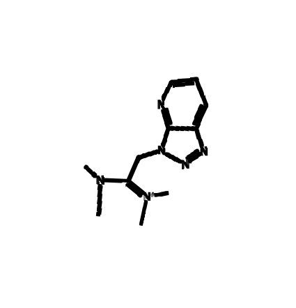 CN(C)C(Cn1nnc2cccnc21)=[N+](C)C